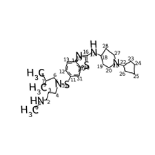 CNCCCN(CC(C)C)Sc1ccc2nc(NC3CCN(C4CCCC4)CC3)sc2c1